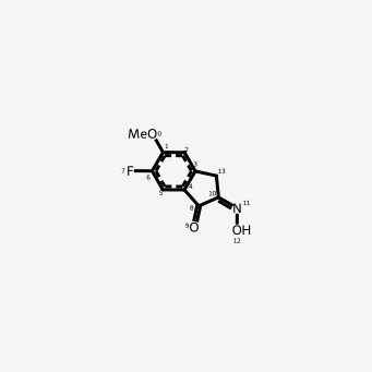 COc1cc2c(cc1F)C(=O)/C(=N\O)C2